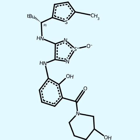 Cc1ccc([C@H](Nc2n[s+]([O-])nc2Nc2cccc(C(=O)N3CCCC(O)C3)c2O)C(C)(C)C)s1